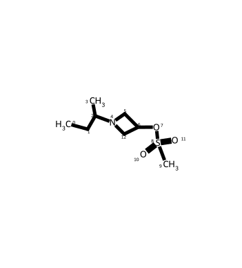 CCC(C)N1CC(OS(C)(=O)=O)C1